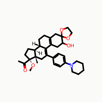 CO[C@]1(C(C)=O)CC[C@H]2[C@@H]3CCC4=C(CC(O)C5(C4)OCCO5)C3=C(c3ccc(N4CCCCC4)cc3)C[C@@]21C